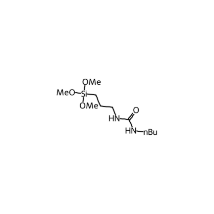 CCCCNC(=O)NCCC[Si](OC)(OC)OC